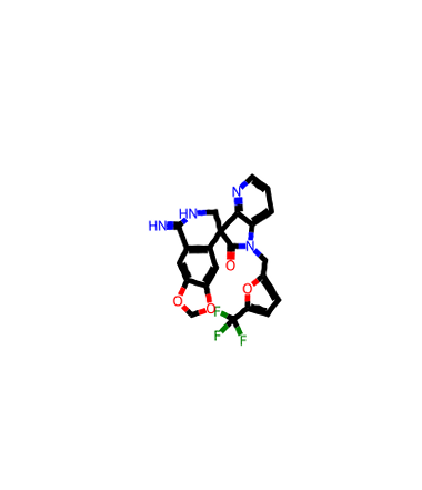 N=C1NCC2(C(=O)N(Cc3ccc(C(F)(F)F)o3)c3cccnc32)c2cc3c(cc21)OCO3